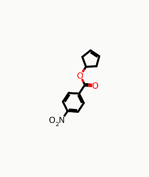 O=C(OC1CC=CC1)c1ccc([N+](=O)[O-])cc1